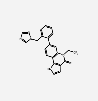 O=c1c2cn[nH]c2c2ccc(-c3ccccc3Cn3cncn3)cc2n1CC(F)(F)F